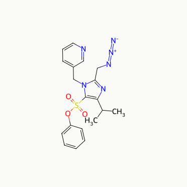 CC(C)c1nc(CN=[N+]=[N-])n(Cc2cccnc2)c1S(=O)(=O)Oc1ccccc1